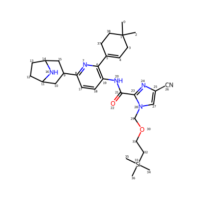 CC1(C)CC=C(c2nc(C3CC4CCC(C3)N4)ccc2NC(=O)c2nc(C#N)cn2COCC[Si](C)(C)C)CC1